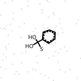 OC(O)([S])c1ccccc1